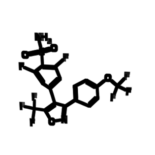 NS(=O)(=O)c1c(F)cc(-c2c(-c3ccc(OC(F)(F)F)cc3)noc2C(F)(F)F)cc1F